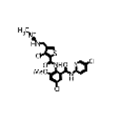 C[N+]#CNCc1csc(C(=O)Nc2c(OC)cc(Cl)cc2C(=O)Nc2ccc(Cl)cn2)c1Cl